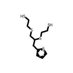 SCCSCC(Cc1cccs1)SCCS